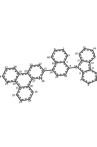 c1ccc2c(-n3c4ccccc4c4ccccc43)ccc(-c3ccc4c5ccccc5c5ccccc5c4n3)c2c1